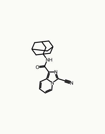 N#Cc1nc(C(=O)NC23CC4CC(CC(C4)C2)C3)c2ccccn12